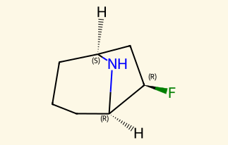 F[C@@H]1C[C@@H]2CCC[C@H]1N2